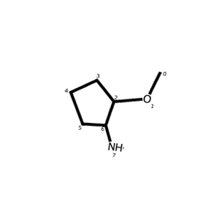 COC1CCCC1[NH]